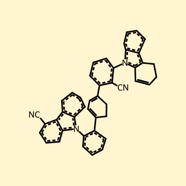 N#Cc1c(C2=CC=C(c3ccccc3-n3c4ccccc4c4c(C#N)cccc43)CC2)cccc1-n1c2c(c3ccccc31)CCC=C2